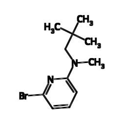 CN(CC(C)(C)C)c1cccc(Br)n1